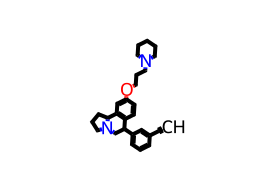 C#Cc1cccc(C2CN3CCCC3c3cc(OCCCN4CCCCC4)ccc32)c1